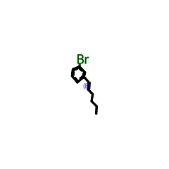 CCCC/C=C/c1cccc(Br)c1